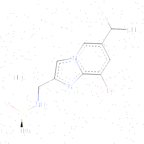 CC(F)c1cc(Br)c2nc([C@@H](C)N[S@+]([O-])C(C)(C)C)cn2c1